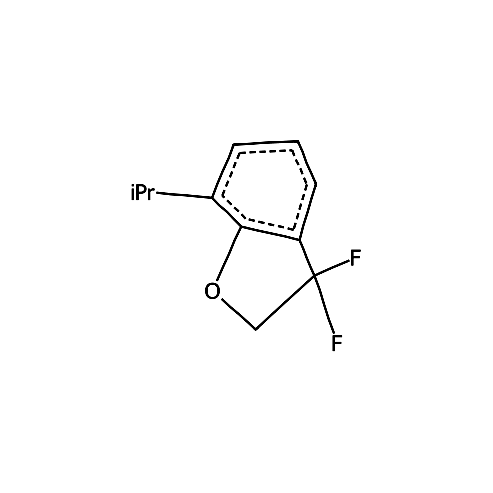 CC(C)c1cccc2c1OCC2(F)F